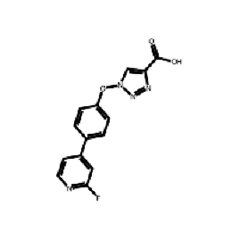 O=C(O)c1cn(Oc2ccc(-c3ccnc(F)c3)cc2)nn1